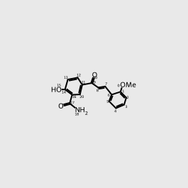 COc1ccccc1C=CC(=O)c1ccc(O)c(C(N)=O)c1